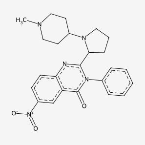 CN1CCC(N2CCCC2c2nc3ccc([N+](=O)[O-])cc3c(=O)n2-c2ccccc2)CC1